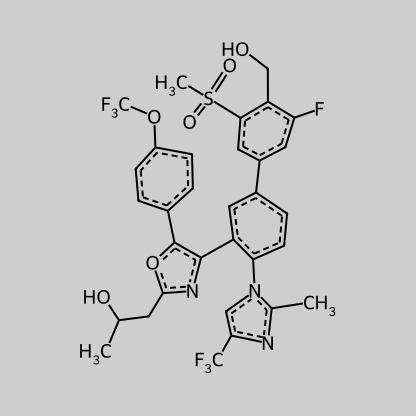 Cc1nc(C(F)(F)F)cn1-c1ccc(-c2cc(F)c(CO)c(S(C)(=O)=O)c2)cc1-c1nc(CC(C)O)oc1-c1ccc(OC(F)(F)F)cc1